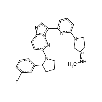 CN[C@@H]1CCN(c2cccc(-c3cnc4ccc(N5CCCC5c5cccc(F)c5)nn34)n2)C1